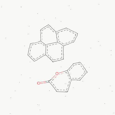 O=c1ccc2ccccc2o1.c1cc2ccc3cccc4ccc(c1)c2c34